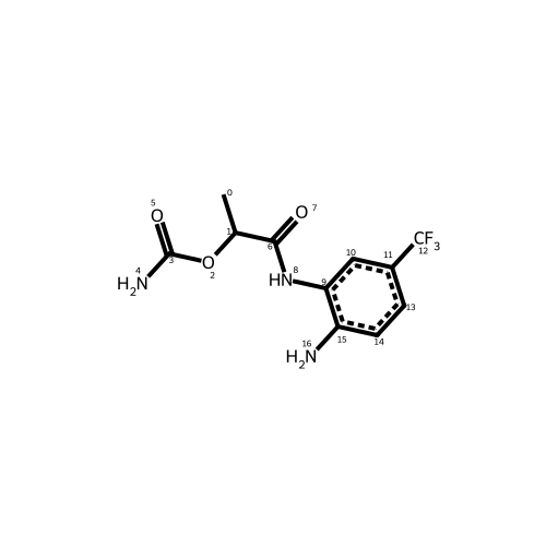 CC(OC(N)=O)C(=O)Nc1cc(C(F)(F)F)ccc1N